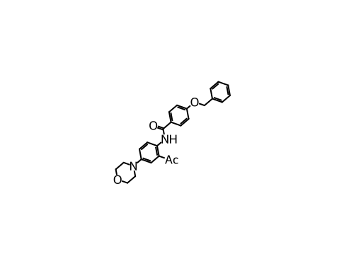 CC(=O)c1cc(N2CCOCC2)ccc1NC(=O)c1ccc(OCc2ccccc2)cc1